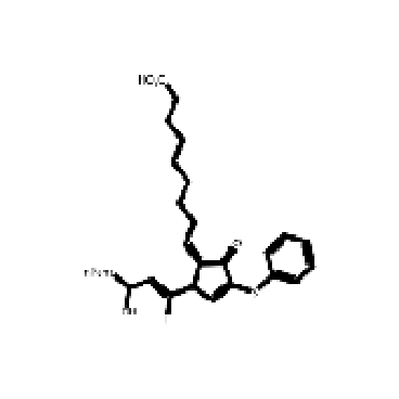 CCCCCC(O)C=C(I)C1C=C(Sc2ccccc2)C(=O)C1=CCCCCCCCC(=O)O